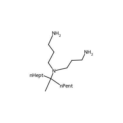 CCCCCCCC(C)(CCCCC)N(CCCN)CCCN